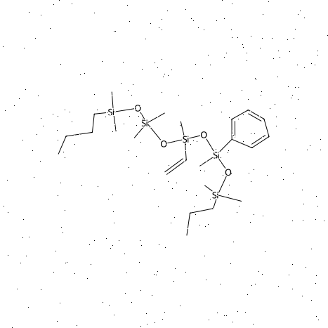 C=C[Si](C)(O[Si](C)(C)O[Si](C)(C)CCCC)O[Si](C)(O[Si](C)(C)CCC)c1ccccc1